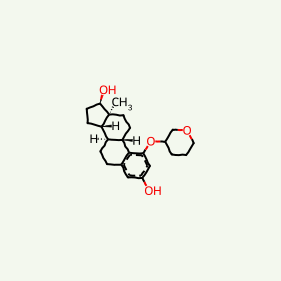 C[C@]12CC[C@@H]3c4c(cc(O)cc4OC4CCCOC4)CC[C@H]3[C@@H]1CC[C@H]2O